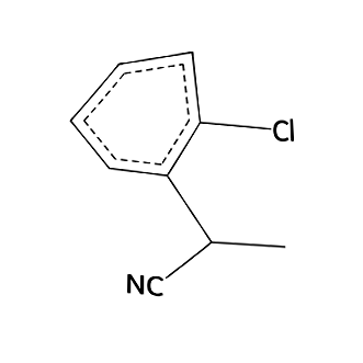 CC(C#N)c1ccccc1Cl